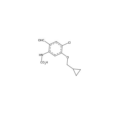 O=Cc1cc(Cl)c(OCC2CC2)cc1NC(=O)O